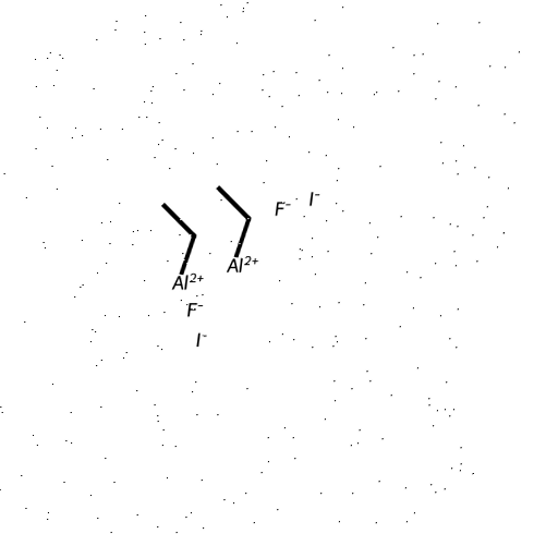 C[CH2][Al+2].C[CH2][Al+2].[F-].[F-].[I-].[I-]